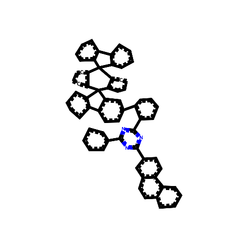 c1ccc(-c2nc(-c3ccc4c(ccc5ccccc54)c3)nc(-c3ccccc3-c3ccc4c(c3)C3(c5ccccc5-4)c4ccccc4C4(c5ccccc5-c5ccccc54)c4ccccc43)n2)cc1